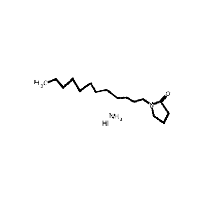 CCCCCCCCCCCCN1CCCC1=O.I.N